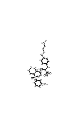 COCCCOc1ccc(CC(NC(=O)C2CCCCN2S(=O)(=O)c2cccc(F)c2)C(=O)O)cc1